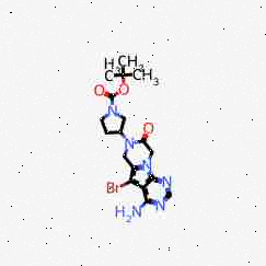 CC(C)(C)OC(=O)N1CCC(N2Cc3c(Br)c4c(N)ncnc4n3CC2=O)C1